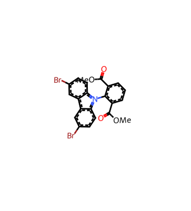 COC(=O)c1cccc(C(=O)OC)c1-n1c2ccc(Br)cc2c2cc(Br)ccc21